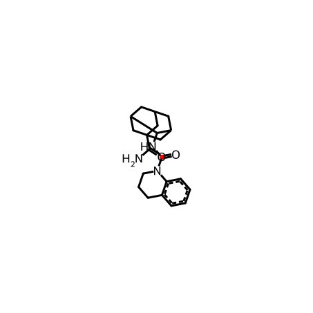 NC(=O)C12CC3CC(C1)C(NC(=O)N1CCCc4ccccc41)C(C3)C2